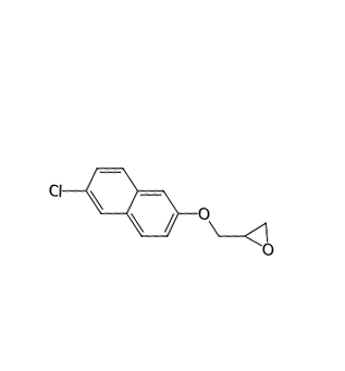 Clc1ccc2cc(OCC3CO3)ccc2c1